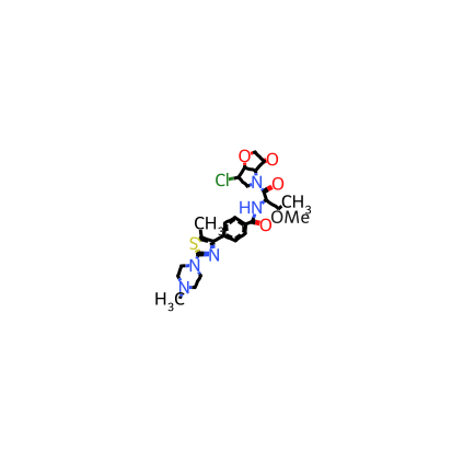 COC(C)C(NC(=O)c1ccc(-c2nc(N3CCN(C)CC3)sc2C)cc1)C(=O)N1CC(Cl)C2OCC(=O)C21